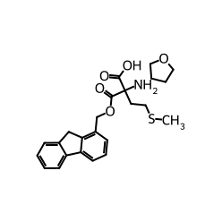 C1CCOC1.CSCCC(N)(C(=O)O)C(=O)OCc1cccc2c1Cc1ccccc1-2